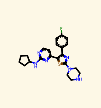 Fc1ccc(-c2nc(N3CCNCC3)sc2-c2ccnc(NC3CCCC3)n2)cc1